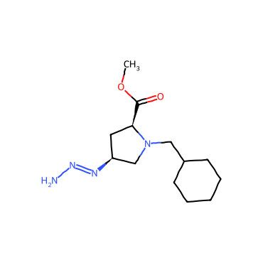 COC(=O)[C@@H]1C[C@H](N=NN)CN1CC1CCCCC1